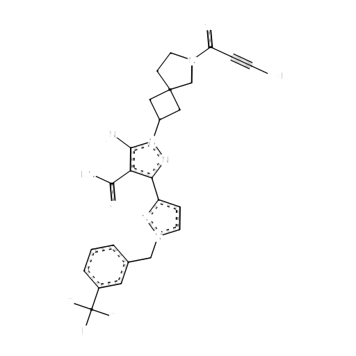 CC#CC(=O)N1CCC2(CC(n3nc(-c4ccn(Cc5cccc(C(F)(F)F)c5)n4)c(C(N)=O)c3N)C2)C1